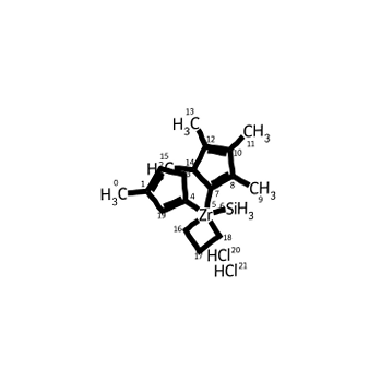 CC1=CC[C]([Zr]2([SiH3])([C]3=C(C)C(C)=C(C)C3C)[CH2]C[CH2]2)=C1.Cl.Cl